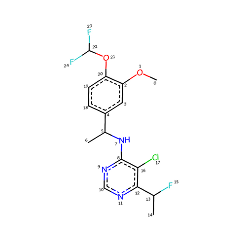 COc1cc(C(C)Nc2ncnc(C(C)F)c2Cl)ccc1OC(F)F